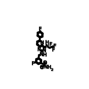 NS(=O)(=O)c1cc(F)cc(CNc2nc(NCC(F)(F)F)c3nc(-c4ccc(F)cc4)ccc3n2)c1